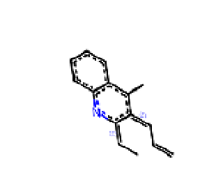 C=C/C=c1/c(C)c2ccccc2n/c1=C/C